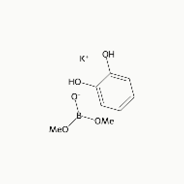 COB([O-])OC.Oc1ccccc1O.[K+]